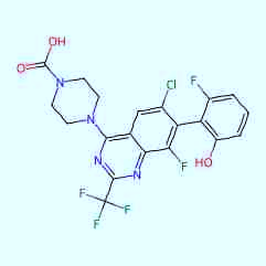 O=C(O)N1CCN(c2nc(C(F)(F)F)nc3c(F)c(-c4c(O)cccc4F)c(Cl)cc23)CC1